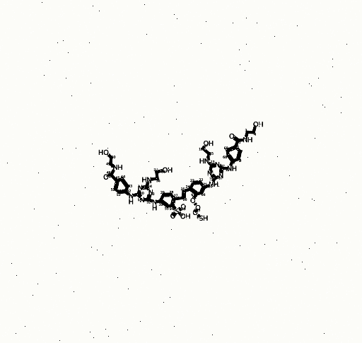 O=C(NCCO)c1ccc(Nc2nc(NCCO)nc(Nc3ccc(/C=C/c4ccc(Nc5nc(NCCO)nc(Nc6ccc(C(=O)NCCO)cc6)n5)cc4S(=O)(=O)O)c(OOOS)c3)n2)cc1